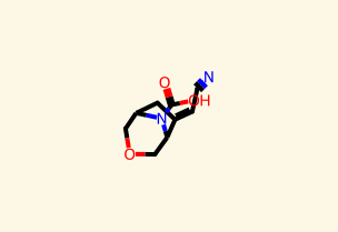 N#C/C=C1\CC2COCC1N2C(=O)O